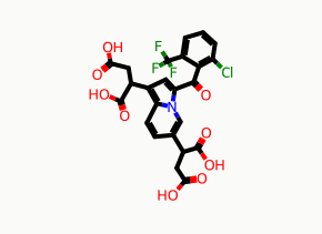 O=C(O)CC(C(=O)O)c1ccc2c(C(CC(=O)O)C(=O)O)cc(C(=O)c3c(Cl)cccc3C(F)(F)F)n2c1